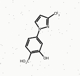 O=C(O)c1ccc(-n2ccc(C(F)(F)F)n2)cc1O